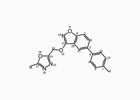 Cc1ccc(-c2ccc3onc(OCc4nnc(C)o4)c3c2)cc1